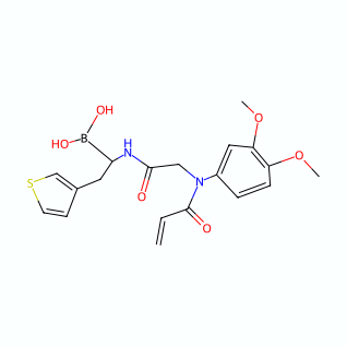 C=CC(=O)N(CC(=O)NC(Cc1ccsc1)B(O)O)c1ccc(OC)c(OC)c1